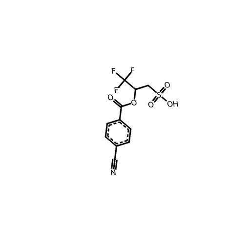 N#Cc1ccc(C(=O)OC(CS(=O)(=O)O)C(F)(F)F)cc1